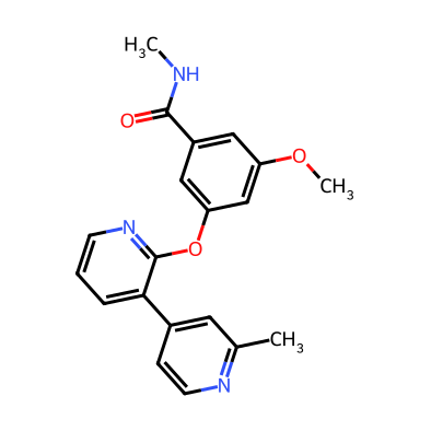 CNC(=O)c1cc(OC)cc(Oc2ncccc2-c2ccnc(C)c2)c1